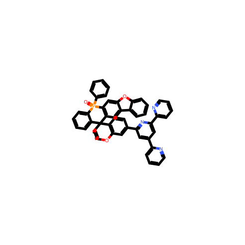 O=P1(c2ccccc2)c2ccccc2C2(c3ccccc3Oc3cc(-c4cc(-c5ccccn5)cc(-c5ccccn5)n4)ccc32)c2cc3c(cc21)oc1ccccc13